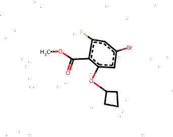 COC(=O)c1c(F)cc(Br)cc1OC1CCC1